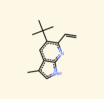 C=Cc1nc2[nH]cc(C)c2cc1C(C)(C)C